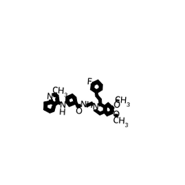 COc1cc2c(cc1OC)C(CCc1cccc(F)c1)N(CCNC(=O)c1cccc(Nc3cc(C)nc4ccccc34)c1)CC2